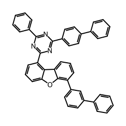 c1ccc(-c2ccc(-c3nc(-c4ccccc4)nc(-c4cccc5oc6c(-c7cccc(-c8ccccc8)c7)cccc6c45)n3)cc2)cc1